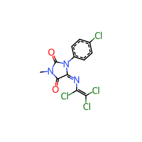 CN1C(=O)/C(=N\C(Cl)=C(Cl)Cl)N(c2ccc(Cl)cc2)C1=O